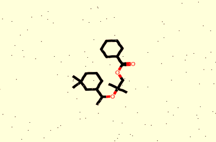 CC(OC(C)(C)COC(=O)C1CCCCC1)C1CCCC(C)(C)C1